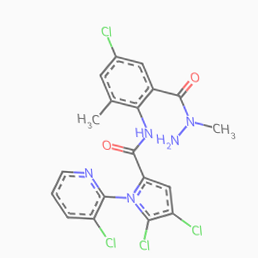 Cc1cc(Cl)cc(C(=O)N(C)N)c1NC(=O)c1cc(Cl)c(Cl)n1-c1ncccc1Cl